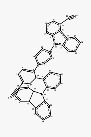 N#CC1=CC=C(c2ccc(-n3c4ccccc4c4c(C#N)cccc43)cc2)C(c2ccccc2N2c3ccccc3C3C=CC=CC32)C1